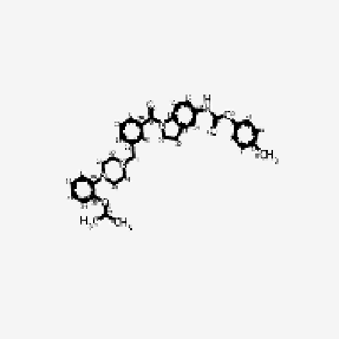 Cc1ccc(OC(=O)Nc2ccc3c(c2)CCN3C(=O)c2cccc(CN3CCN(c4ccccc4OC(C)C)CC3)c2)cc1